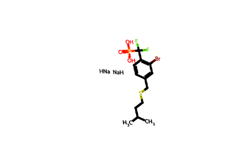 CC(C)CCSCc1ccc(C(F)(F)P(=O)(O)O)c(Br)c1.[NaH].[NaH]